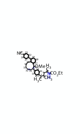 CCOC(=O)N[C@H](C)CC(C)C(C)c1ccc(C2=C(\OC)c3cccc(-c4ccc(C#N)cc4)c3CCC/C=C\2)cc1